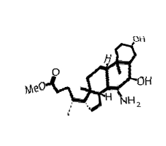 COC(=O)CC[C@@H](C)[C@H]1CC[C@H]2C3[C@H](N)[C@H](O)C4C[C@H](O)CCC4(C)[C@H]3CCC12C